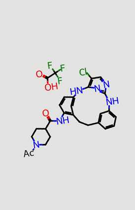 CC(=O)N1CCC(C(=O)Nc2ccc3cc2CCc2cccc(c2)Nc2ncc(Cl)c(n2)N3)CC1.O=C(O)C(F)(F)F